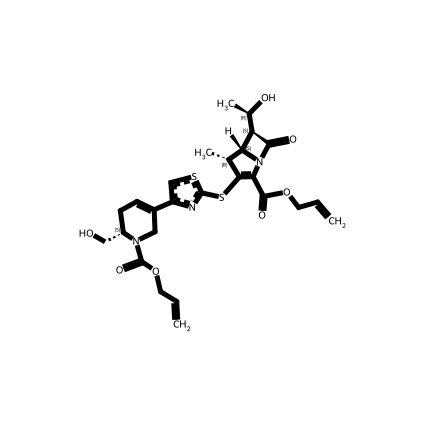 C=CCOC(=O)C1=C(Sc2nc(C3=CC[C@@H](CO)N(C(=O)OCC=C)C3)cs2)[C@H](C)[C@@H]2[C@@H]([C@@H](C)O)C(=O)N12